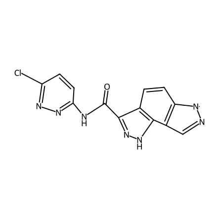 O=C(Nc1ccc(Cl)nn1)c1n[nH]c2c3c(ccc12)[N]N=C3